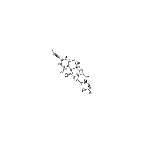 CC#Cc1cc(C)c(C2C(=O)CC3(CCN(SC(C)F)CC3)CC2=O)c(C)c1